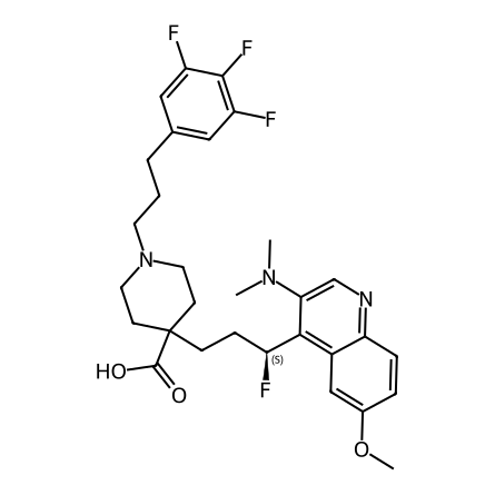 COc1ccc2ncc(N(C)C)c([C@@H](F)CCC3(C(=O)O)CCN(CCCc4cc(F)c(F)c(F)c4)CC3)c2c1